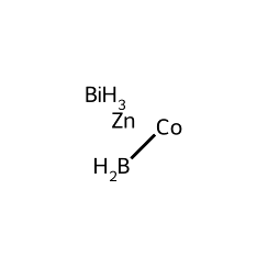 [BH2][Co].[BiH3].[Zn]